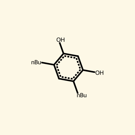 CCCCc1cc(CCCC)c(O)cc1O